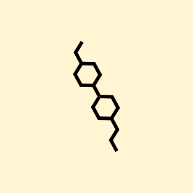 CCCC1CCC(C2CCC(CC)CC2)CC1